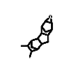 CC1C(C)C2CC1C1CC3C4CC(C5OC45)C3C21